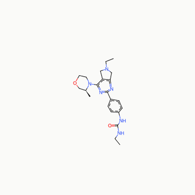 CCNC(=O)Nc1ccc(-c2nc3c(c(N4CCOC[C@@H]4C)n2)CN(CC)C3)cc1